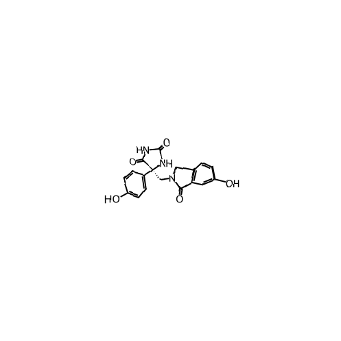 O=C1NC(=O)[C@](CN2Cc3ccc(O)cc3C2=O)(c2ccc(O)cc2)N1